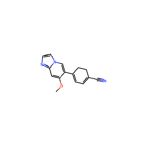 COc1cc2nccn2cc1C1=CC=C(C#N)CC1